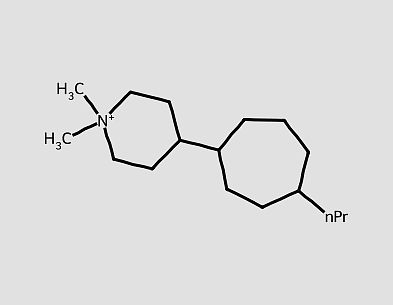 CCCC1CCCC(C2CC[N+](C)(C)CC2)CC1